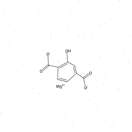 O=C([O-])c1ccc(C(=O)[O-])c(O)c1.[Mg+2]